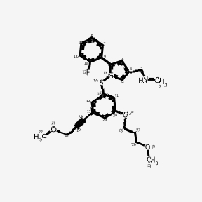 CNCc1cc(-c2ccccc2F)n(Sc2cc(C#CCOC)cc(OCCCOC)c2)c1